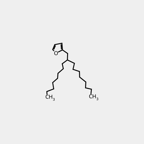 CCCCCCCCC(CCCCCCCC)Cc1ccco1